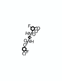 O=C(COc1ccc(Cl)c(F)c1)NC12CC(NC(=O)c3cc(F)cc4c3OCOC4)(C1)C2